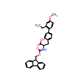 CCc1cc(OC)ccc1-c1ccc(CC(NC(=O)OCC2c3ccccc3-c3ccccc32)C(=O)O)cc1